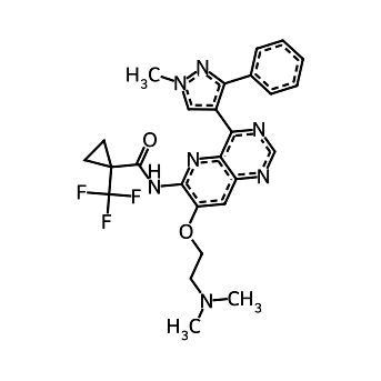 CN(C)CCOc1cc2ncnc(-c3cn(C)nc3-c3ccccc3)c2nc1NC(=O)C1(C(F)(F)F)CC1